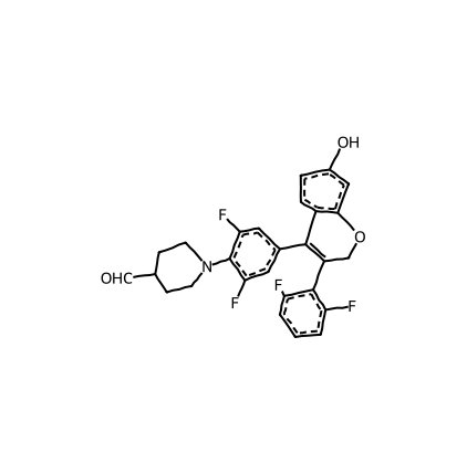 O=CC1CCN(c2c(F)cc(C3=C(c4c(F)cccc4F)COc4cc(O)ccc43)cc2F)CC1